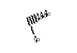 CCCCCC.CCCCCC.CCCCCC.CCCCCC.CCCCCC.CCOC(C)=O.CCOC(C)=O.CCOC(C)=O.CCOC(C)=O